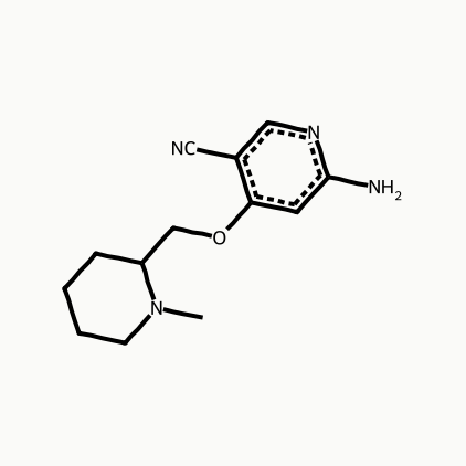 CN1CCCCC1COc1cc(N)ncc1C#N